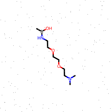 CB(O)NCCOCCOCCN(C)C